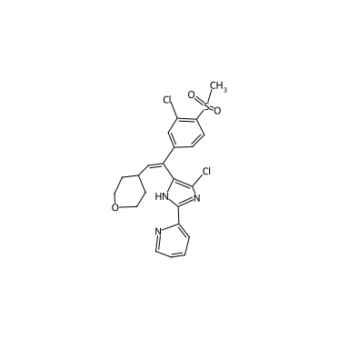 CS(=O)(=O)c1ccc(C(=CC2CCOCC2)c2[nH]c(-c3ccccn3)nc2Cl)cc1Cl